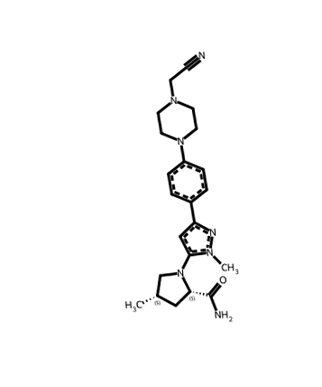 C[C@H]1C[C@@H](C(N)=O)N(c2cc(-c3ccc(N4CCN(CC#N)CC4)cc3)nn2C)C1